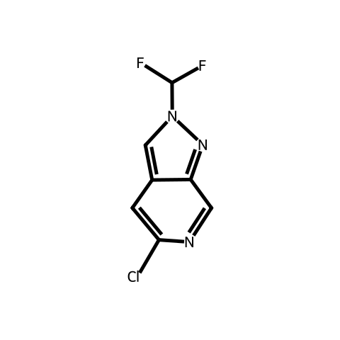 FC(F)n1cc2cc(Cl)ncc2n1